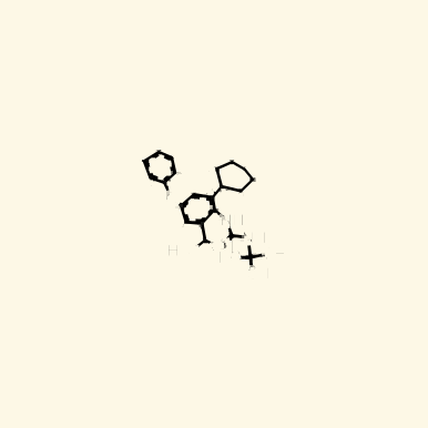 CC(C)c1cc(Oc2ccccc2)cc(C2CCCCC2)c1NC(=S)NC(C)(C)C